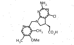 COc1c(C)cnc(CN2C[C@H](CC(=O)O)c3c(Cl)nc(N)nc32)c1C